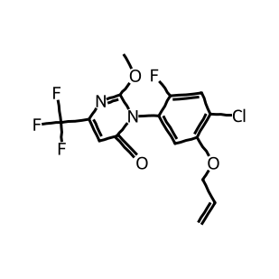 C=CCOc1cc(-n2c(OC)nc(C(F)(F)F)cc2=O)c(F)cc1Cl